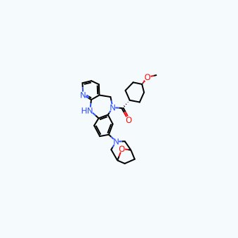 CO[C@H]1CC[C@H](C(=O)N2Cc3cccnc3Nc3ccc(N4CC5CCC(C4)O5)cc32)CC1